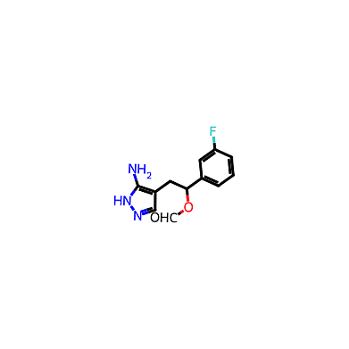 Nc1[nH]ncc1CC(OC=O)c1cccc(F)c1